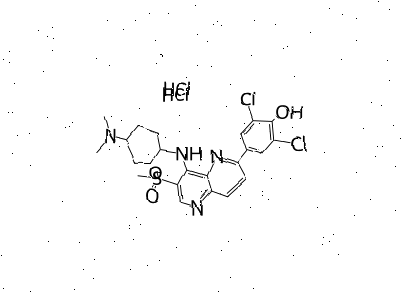 CN(C)C1CCC(Nc2c(S(C)(=O)=O)cnc3ccc(-c4cc(Cl)c(O)c(Cl)c4)nc23)CC1.Cl.Cl